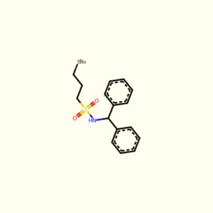 CC(C)(C)CCCS(=O)(=O)NC(c1ccccc1)c1ccccc1